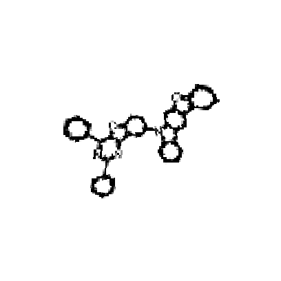 c1ccc(-c2nc(-c3ccccc3)c3oc4ccc(-n5c6ccccc6c6cc7c(cc65)oc5ccccc57)cc4c3n2)cc1